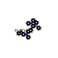 CC1(C)c2ccccc2-c2ccc(N(c3ccccc3)c3ccc4cc(-c5cc(N(c6ccccc6)c6ccccc6)c6c7ccccc7n(-c7ccccc7)c6c5)ccc4c3)cc21